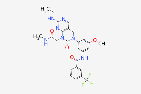 CCNc1ncc2c(n1)N(CC(=O)NC)C(=O)N(c1cc(NC(=O)c3cccc(C(F)(F)F)c3)cc(OC)c1)C2